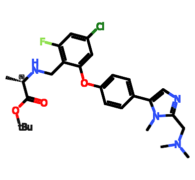 C[C@H](NCc1c(F)cc(Cl)cc1Oc1ccc(-c2cnc(CN(C)C)n2C)cc1)C(=O)OC(C)(C)C